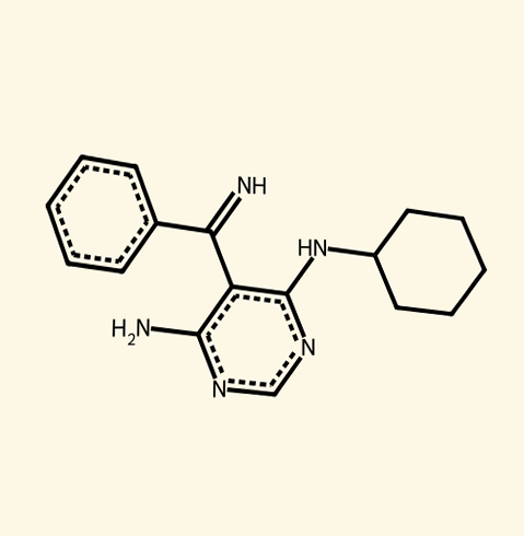 N=C(c1ccccc1)c1c(N)ncnc1NC1CCCCC1